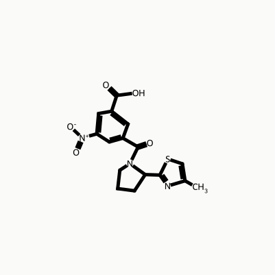 Cc1csc(C2CCCN2C(=O)c2cc(C(=O)O)cc([N+](=O)[O-])c2)n1